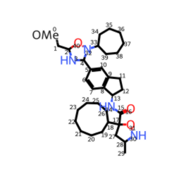 COCC1NC(c2ccc3c(c2)CC[C@H]3NC(=O)C2(C3CCCCCCCC3)CC(C)NO2)N(C2CCCCCC2)O1